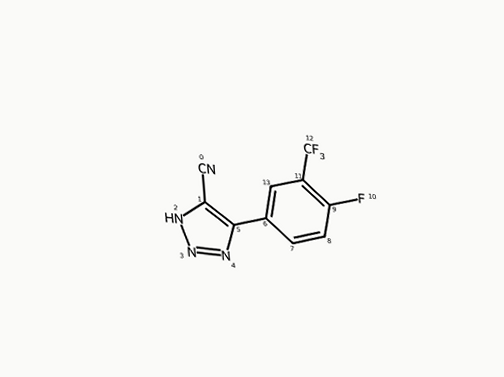 N#Cc1[nH]nnc1-c1ccc(F)c(C(F)(F)F)c1